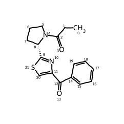 CCC(=O)N1CCC[C@H]1c1nc(C(=O)c2ccccc2)cs1